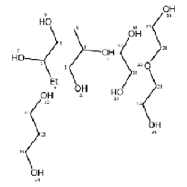 CC(O)CO.CCC(O)CO.OCCCO.OCCO.OCCOCCO